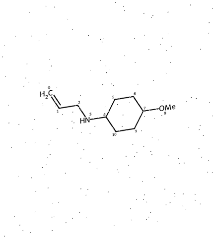 C=CCNC1CCC(OC)CC1